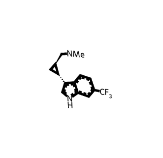 CNC[C@@H]1C[C@H]1c1c[nH]c2cc(C(F)(F)F)ccc12